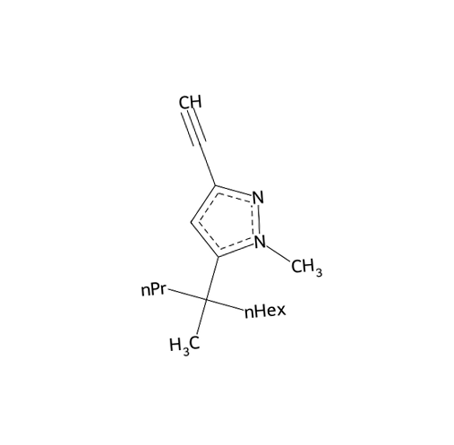 C#Cc1cc(C(C)(CCC)CCCCCC)n(C)n1